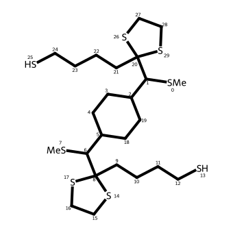 CSC(C1CCC(C(SC)C2(CCCCS)SCCS2)CC1)C1(CCCCS)SCCS1